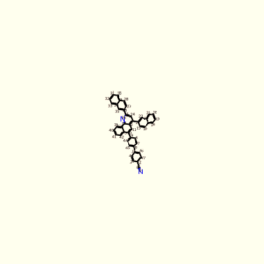 N#Cc1ccc(-c2ccc(-c3cc4c(-c5ccc6ccccc6c5)cc(-c5ccc6ccccc6c5)nc4c4ccccc34)cc2)cc1